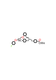 COC(=O)c1ccc(CCC(C=Cc2ccccc2OCCCCOc2ccc(F)cc2)Cc2ccc(C#N)cc2)cc1